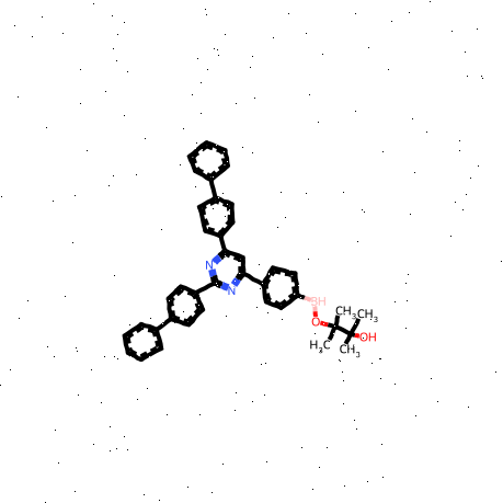 CC(C)(O)C(C)(C)OBc1ccc(-c2cc(-c3ccc(-c4ccccc4)cc3)nc(-c3ccc(-c4ccccc4)cc3)n2)cc1